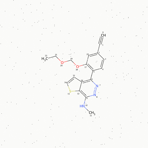 C#Cc1ccc(-c2nnc(NC)c3sccc23)c(OCOCC)c1